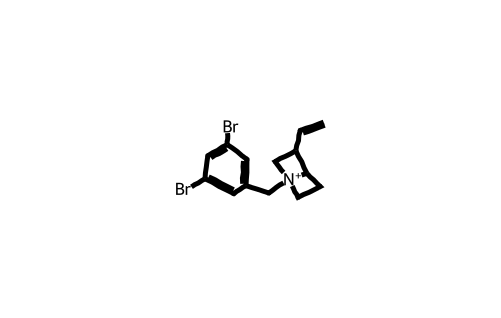 C=CC1C[N+]2(Cc3cc(Br)cc(Br)c3)CCC12